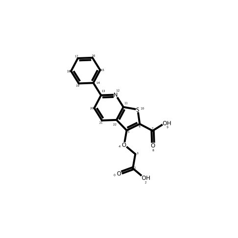 O=C(O)COc1c(C(=O)O)sc2nc(-c3ccccc3)ccc12